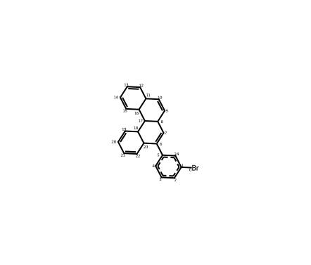 Brc1cccc(C2=CC3C=CC4C=CC=CC4C3C3C=CC=CC23)c1